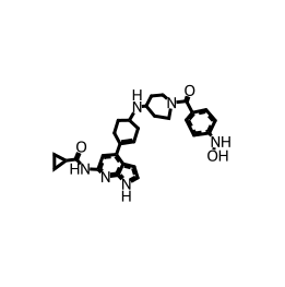 O=C(Nc1cc(C2=CCC(NC3CCN(C(=O)c4ccc(NO)cc4)CC3)CC2)c2cc[nH]c2n1)C1CC1